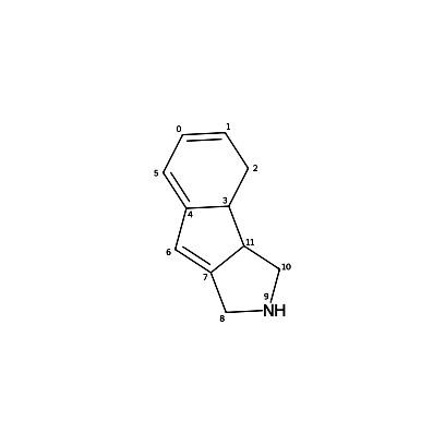 C1=CCC2C(=C1)C=C1CNCC12